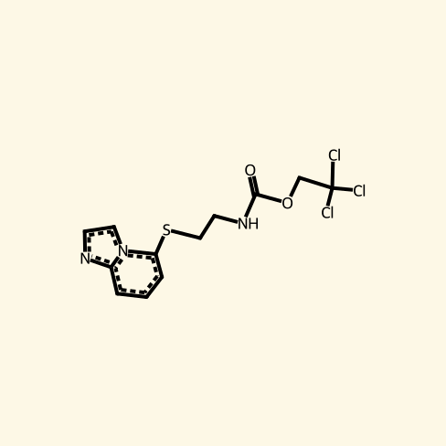 O=C(NCCSc1cccc2nccn12)OCC(Cl)(Cl)Cl